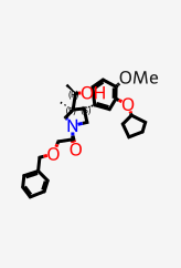 COc1ccc([C@@H]2CN(C(=O)COCc3ccccc3)C[C@@]2(C)[C@@H](C)O)cc1OC1CCCC1